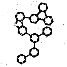 c1ccc(-c2cccc(-c3cc(-c4ccccc4)cc(-c4ccc5oc6cccc(-c7ccc8c9ccccc9c9ccccc9c8c7)c6c5c4)c3)c2)cc1